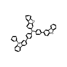 c1ccc(-n2c3ccccc3c3ccc(-c4ccc(N(c5ccc(-c6ccc7sc8ccccc8c7c6)cc5)c5ccc6c(c5)oc5ccccc56)cc4)cc32)cc1